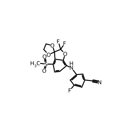 CS(=O)(=O)c1ccc(Nc2cc(F)cc(C#N)c2)c2c1C1(OCCO1)C(F)(F)O2